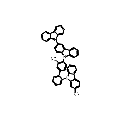 N#Cc1ccc2c3ccccc3n(-c3ccccc3-c3ccc(-n4c5ccccc5c5cc(-n6c7ccccc7c7ccccc76)ccc54)c(C#N)c3)c2c1